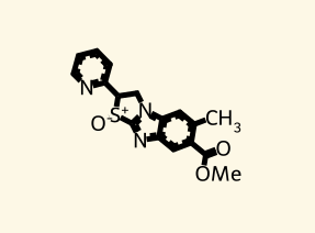 COC(=O)c1cc2nc3n(c2cc1C)CC(c1ccccn1)[S+]3[O-]